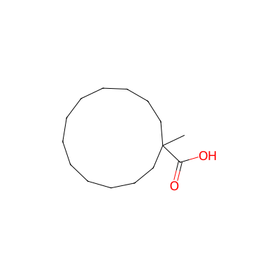 CC1(C(=O)O)CCCCCCCCCCCC1